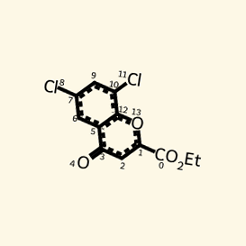 CCOC(=O)c1cc(=O)c2cc(Cl)cc(Cl)c2o1